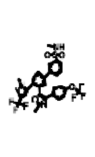 CNS(=O)(=O)c1cccc(-c2ccc(-c3cc(C(F)(F)F)nn3C)c(-c3oc(C)nc3-c3ccc(OC(F)(F)F)cc3)c2)c1